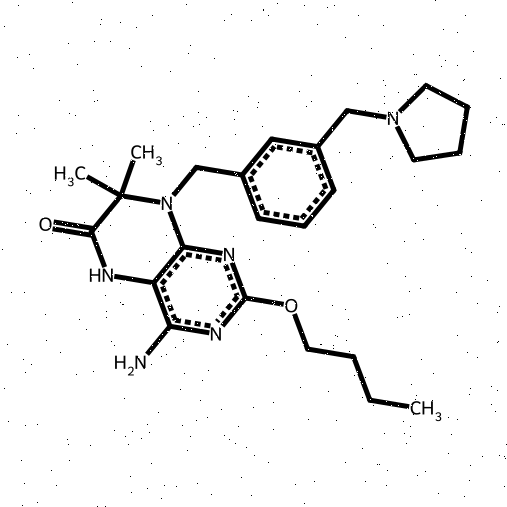 CCCCOc1nc(N)c2c(n1)N(Cc1cccc(CN3CCCC3)c1)C(C)(C)C(=O)N2